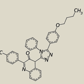 CCCCOc1ccc(-c2nnc(C3C(=O)C(c4ccc(C)cc4)=Nc4ccccc43)n2-c2ccccc2)cc1